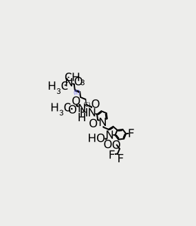 COC(=O)N[C@@H](CC/C=C/C(=O)N(C)C)C(=O)Nc1cccn(Cc2cc3cc(F)cc(OCC(F)F)c3n2C(=O)O)c1=O